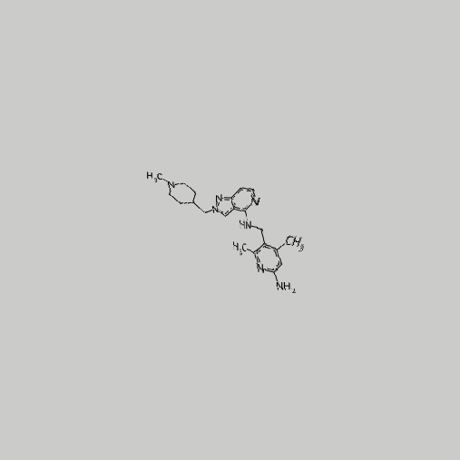 Cc1cc(N)nc(C)c1CNc1nccc2nn(CC3CCN(C)CC3)cc12